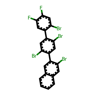 Fc1cc(Br)c(-c2cc(Br)c(-c3cc4ccccc4cc3Br)cc2Br)cc1F